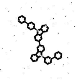 c1ccc(-c2ccc(-n3c4ccc(-c5ccc6c(c5)c5ccccc5n6-c5cccc(-c6ccccc6)c5)cc4c4ccncc43)cc2)cc1